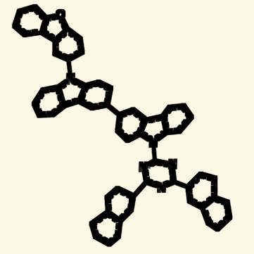 c1ccc2cc(-c3nc(-c4ccc5ccccc5c4)nc(-n4c5ccccc5c5cc(-c6ccc7c(c6)c6ccccc6n7-c6ccc7oc8ccccc8c7c6)ccc54)n3)ccc2c1